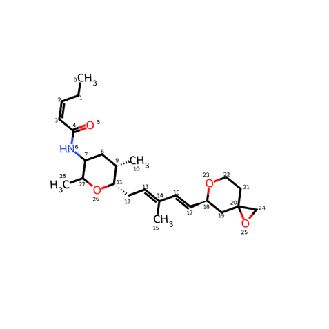 CC/C=C\C(=O)NC1C[C@H](C)[C@H](C/C=C(C)/C=C/[C@@H]2CC3(CCO2)CO3)OC1C